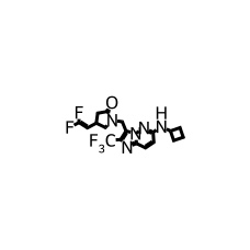 O=C1CC(C=C(F)F)CN1Cc1c(C(F)(F)F)nc2ccc(NC3CCC3)nn12